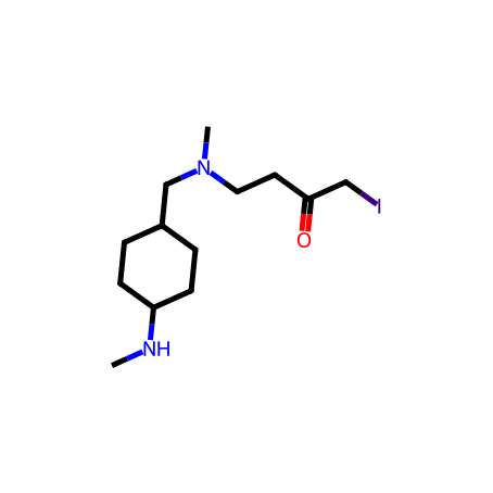 CNC1CCC(CN(C)CCC(=O)CI)CC1